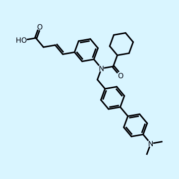 CN(C)c1ccc(-c2ccc(CN(C(=O)C3CCCCC3)c3cccc(/C=C/CC(=O)O)c3)cc2)cc1